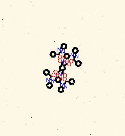 O=c1c2cc3c(=O)n(-c4cc(-n5c(C(O)c6ccccc6)nc6ccccc65)cc(-n5c(C(O)c6ccccc6)nc6ccccc65)c4)c(=O)c3cc2c(=O)n1-c1cc(-n2c(C(O)c3ccccc3)nc3ccccc32)cc(-n2c(C(O)c3ccccc3)nc3ccccc32)c1